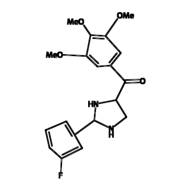 COc1cc(C(=O)C2CNC(c3cccc(F)c3)N2)cc(OC)c1OC